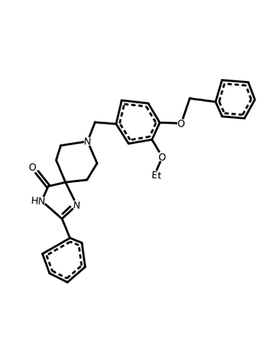 CCOc1cc(CN2CCC3(CC2)N=C(c2ccccc2)NC3=O)ccc1OCc1ccccc1